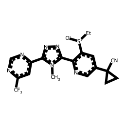 CC[S+]([O-])c1cc(C2(C#N)CC2)cnc1-c1nnc(-c2cc(C(F)(F)F)ncn2)n1C